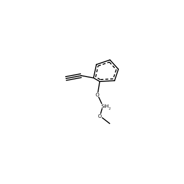 C#Cc1ccccc1O[SiH2]OC